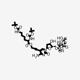 CC(C)(C)OC(=O)NCCCCC(NC(=O)OC(C)(C)C)C(=O)OCC#Cc1cn([C@H]2C[C@@H](O)[C@@H](COP(=O)(O)OP(=O)(O)OP(=O)(O)O)O2)c(=O)nc1N